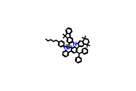 CCCCCc1ccc(Nc2ccccc2-c2cc(C(c3ccccc3)c3ccccc3)c3c4cc5c(cc4n4c3c2Bc2cc3c(cc2-4)-c2ccccc2C3(C)C)C(C)(C)CCC5(C)C)cc1